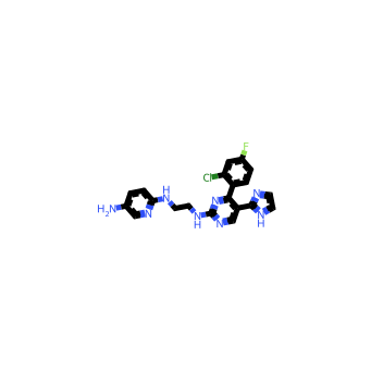 Nc1ccc(NCCNc2ncc(-c3ncc[nH]3)c(-c3ccc(F)cc3Cl)n2)nc1